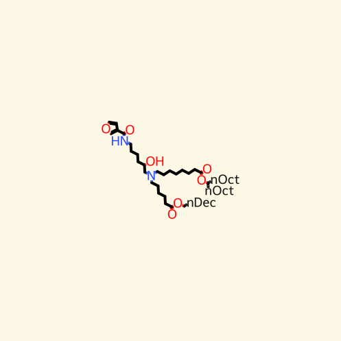 CCCCCCCCCCCOC(=O)CCCCCN(CCCCCCCC(=O)OC(CCCCCCCC)CCCCCCCC)CC(O)CCCCNC(=O)c1ccoc1